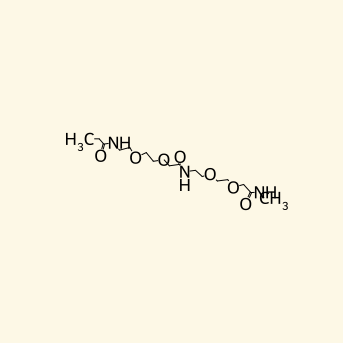 CCC(=O)NCCOCCOCC(=O)NCCOCCOCC(=O)NC